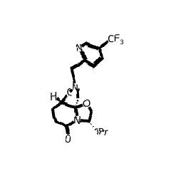 CC(C)[C@H]1CO[C@]23CCN(Cc4ccc(C(F)(F)F)cn4)C[C@H]2CCC(=O)N13